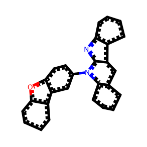 c1ccc2c(c1)cc1c3ccccc3nc-1n2-c1ccc2oc3ccccc3c2c1